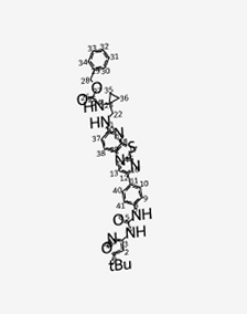 CC(C)(C)c1cc(NC(=O)Nc2ccc(-c3cn4c(n3)sc3nc(NCC5(NC(=O)OCc6ccccc6)CC5)ccc34)cc2)no1